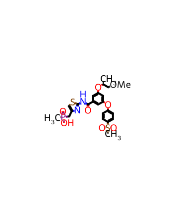 COC[C@H](C)Oc1cc(Oc2ccc(S(C)(=O)=O)cc2)cc(C(=O)Nc2nc(CP(C)(=O)O)cs2)c1